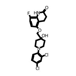 O=C1CCc2c(OCC3(O)CCN(c4ccc(Cl)cc4Cl)CC3)ccc(F)c2N1